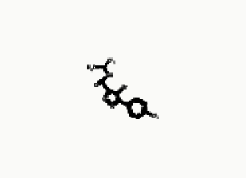 C[C@H](NC(=O)c1onc(-c2ccc(C(F)(F)F)cc2)c1Br)C(F)(F)F